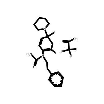 NC(=O)N(CCc1ccccc1)C1=C(F)CC(F)(N2CCCCC2)C=C1.O=C(O)C(F)(F)F